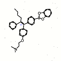 CCCC/C(=C(/c1ccc(OCCN(C)C)cc1)c1ccc(B2Oc3ccccc3O2)cc1)c1ccccc1